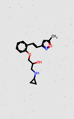 Cc1cc(C=Cc2ccccc2OCC(O)CNC2CC2)no1